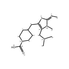 CN=c1sc(CC2CCN(C(=O)O)CC2)c(CN(C)C)n1C